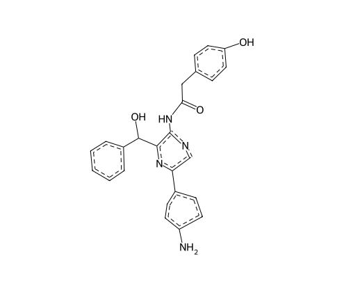 Nc1ccc(-c2cnc(NC(=O)Cc3ccc(O)cc3)c(C(O)c3ccccc3)n2)cc1